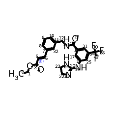 CCOC(=O)/C=C/c1cccc(CNC(=O)c2cc(NC3=NCCN3)cc(C(F)(F)F)c2)c1